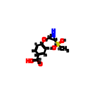 CS(=O)(=O)C1NC1Oc1ccc(C(=O)O)cc1